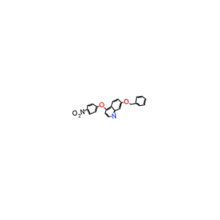 O=[N+]([O-])c1ccc(Oc2ccnc3cc(OCc4ccccc4)ccc23)cc1